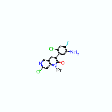 CC(C)n1c(=O)c(-c2cc(N)c(F)cc2Cl)cc2cnc(Cl)cc21